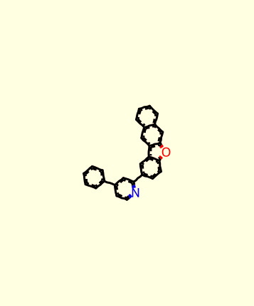 c1ccc(-c2ccnc(-c3ccc4oc5cc6ccccc6cc5c4c3)c2)cc1